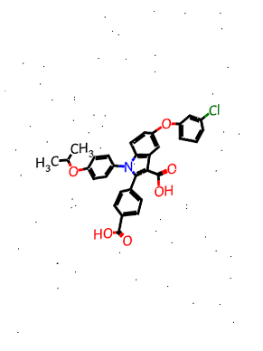 CC(C)Oc1ccc(-n2c(-c3ccc(C(=O)O)cc3)c(C(=O)O)c3cc(Oc4cccc(Cl)c4)ccc32)cc1